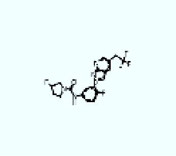 O=C(Nc1ccc(F)c(-n2cc3cc(CC(F)(F)F)cnc3n2)c1)N1CC[C@@H](F)C1